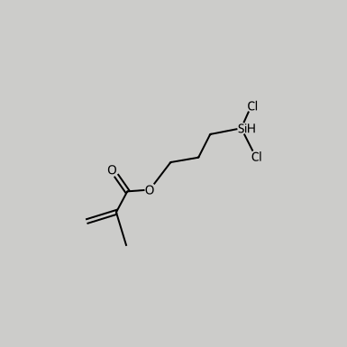 C=C(C)C(=O)OCCC[SiH](Cl)Cl